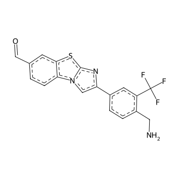 NCc1ccc(-c2cn3c(n2)sc2cc(C=O)ccc23)cc1C(F)(F)F